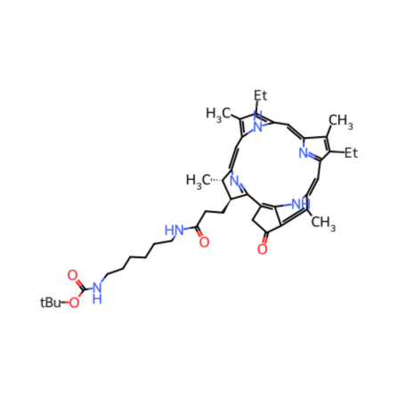 CCC1=C(C)c2cc3[nH]c(cc4nc(c5c6[nH]c(cc1n2)c(C)c6C(=O)C5)[C@@H](CCC(=O)NCCCCCCNC(=O)OC(C)(C)C)[C@@H]4C)c(C)c3CC